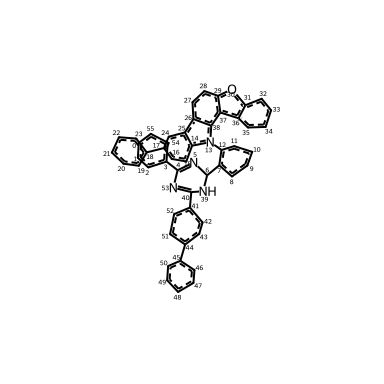 c1ccc(C2=NC(c3ccccc3-n3c4ccc(-c5ccccc5)cc4c4ccc5oc6ccccc6c5c43)NC(c3ccc(-c4ccccc4)cc3)=N2)cc1